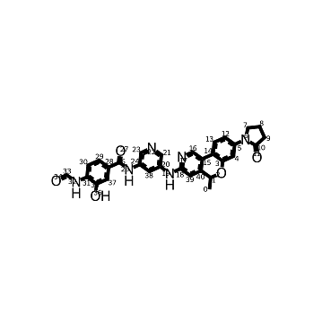 CC1Oc2cc(N3CCCC3=O)ccc2-c2cnc(Nc3cncc(NC(=O)c4ccc(NC=O)c(O)c4)c3)cc21